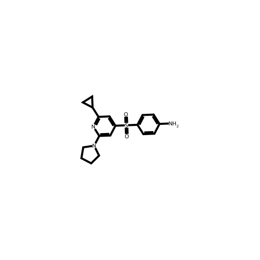 Nc1ccc(S(=O)(=O)c2cc(C3CC3)nc(N3CCCC3)c2)cc1